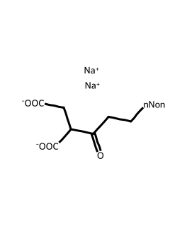 CCCCCCCCCCCC(=O)C(CC(=O)[O-])C(=O)[O-].[Na+].[Na+]